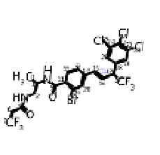 CC(CNC(=O)CC(F)(F)F)NC(=O)c1ccc(/C=C/C(c2cc(Cl)c(Cl)c(Cl)c2)C(F)(F)F)cc1Br